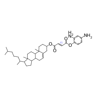 CC(C)CCCC(C)C1CCC2C3CC=C4CC(OC(=O)/C=C/C(=O)Oc5ccc(N)cc5N)CCC4(C)C3CCC12C